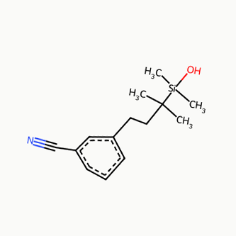 CC(C)(CCc1cccc(C#N)c1)[Si](C)(C)O